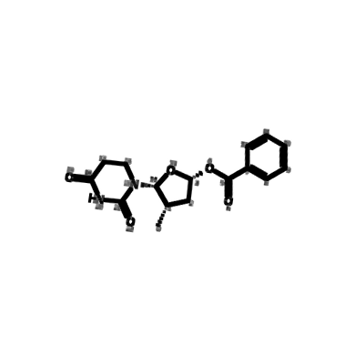 C[C@H]1C[C@@H](OC(=O)c2ccccc2)O[C@H]1N1CCC(=O)NC1=O